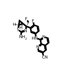 N#Cc1cnc2c(Nc3ccc(F)c([C@@]4(CF)N=C(N)S[C@H]5C[C@H]54)c3)nccc2c1